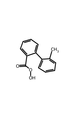 Cc1ccccc1-c1ccccc1C(=O)OO